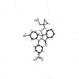 O=C1c2ccccc2C(OCC2(CO)CC2)(c2ccc(Br)cc2)N1Cc1ccc([N+](=O)[O-])cc1